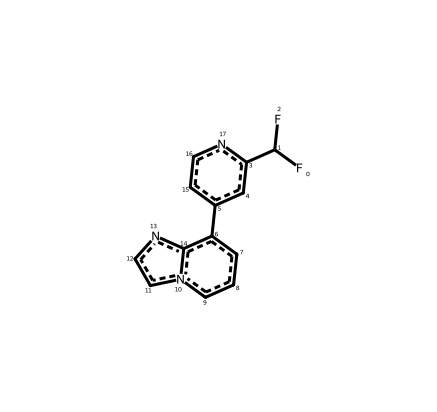 FC(F)c1cc(-c2cccn3ccnc23)ccn1